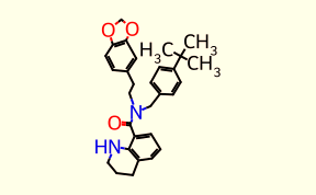 CC(C)(C)c1ccc(CN(CCc2ccc3c(c2)OCO3)C(=O)c2cccc3c2NCCC3)cc1